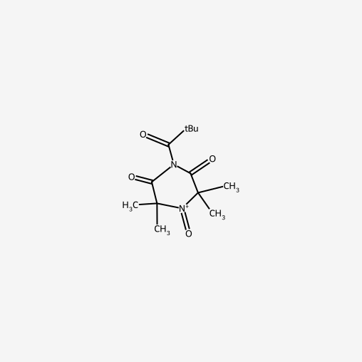 CC(C)(C)C(=O)N1C(=O)C(C)(C)[N+](=O)C(C)(C)C1=O